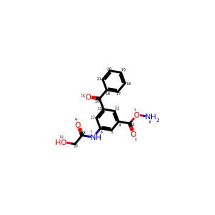 NOC(=O)c1cc(NC(=O)CO)cc(C(=O)c2ccccc2)c1